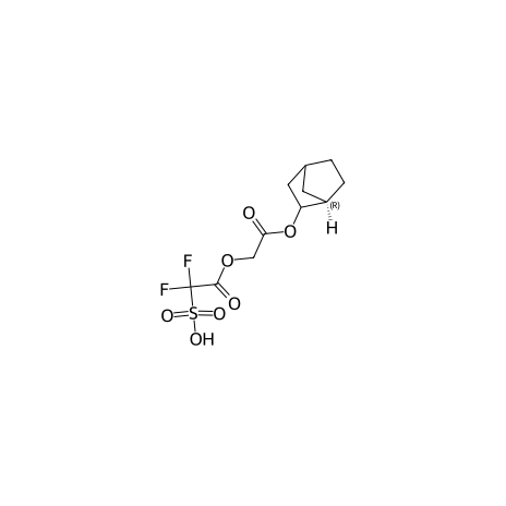 O=C(COC(=O)C(F)(F)S(=O)(=O)O)OC1CC2CC[C@@H]1C2